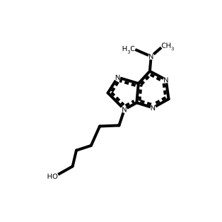 CN(C)c1ncnc2c1ncn2CCCCCO